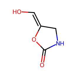 O=C1NC/C(=C/O)O1